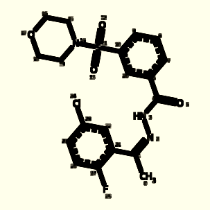 CC(=NNC(=O)c1cccc(S(=O)(=O)N2CCOCC2)c1)c1cc(Cl)ccc1F